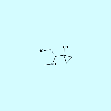 CN[C@H](CO)C1(O)CC1